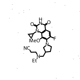 CCN(CCC#N)CC1CCN(c2c(F)cc3c(=O)[nH]c(=O)n(C4CC4)c3c2OC)C1